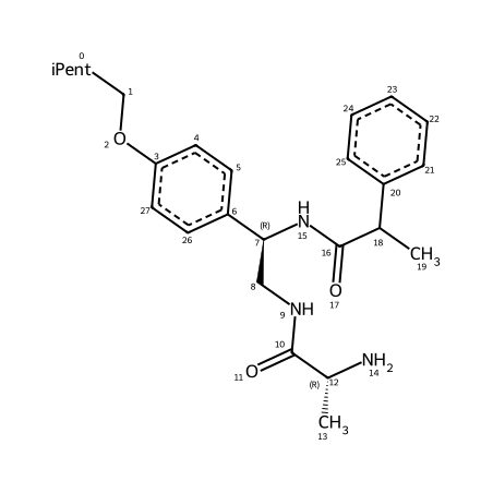 CCCC(C)COc1ccc([C@H](CNC(=O)[C@@H](C)N)NC(=O)C(C)c2ccccc2)cc1